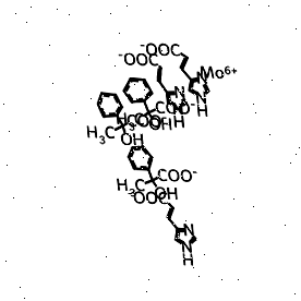 CC(O)(C(=O)[O-])c1ccccc1.CC(O)(C(=O)[O-])c1ccccc1.CC(O)(C(=O)[O-])c1ccccc1.O=C([O-])C=Cc1c[nH]cn1.O=C([O-])C=Cc1c[nH]cn1.O=C([O-])C=Cc1c[nH]cn1.[Mo+6]